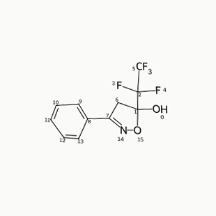 OC1(C(F)(F)C(F)(F)F)CC(c2ccccc2)=NO1